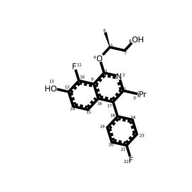 CC(C)c1nc(O[C@@H](C)CO)c2c(F)c(O)ccc2c1-c1ccc(F)cc1